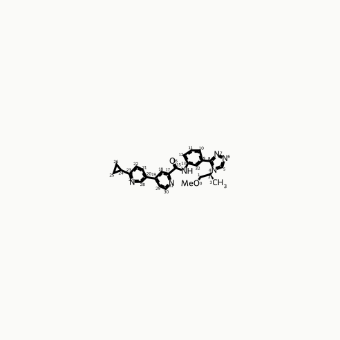 COC[C@H](C)n1cnnc1-c1cccc(NC(=O)c2cc(-c3ccc(C4CC4)nc3)ccn2)c1